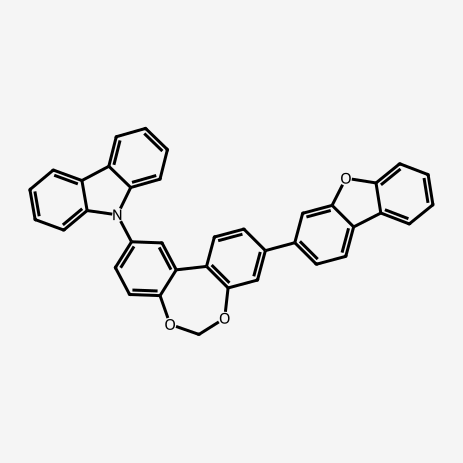 c1ccc2c(c1)oc1cc(-c3ccc4c(c3)OCOc3ccc(-n5c6ccccc6c6ccccc65)cc3-4)ccc12